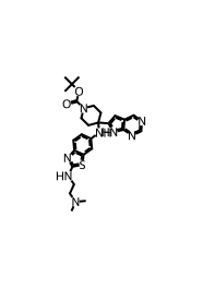 CN(C)CCNc1nc2ccc(NC3(c4cc5cncnc5[nH]4)CCN(C(=O)OC(C)(C)C)CC3)cc2s1